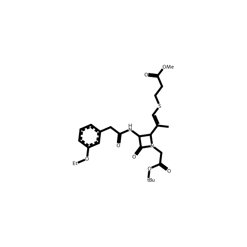 CCOc1cccc(CC(=O)NC2C(=O)N(CC(=O)OC(C)(C)C)C2C(C)=CSCCC(=O)OC)c1